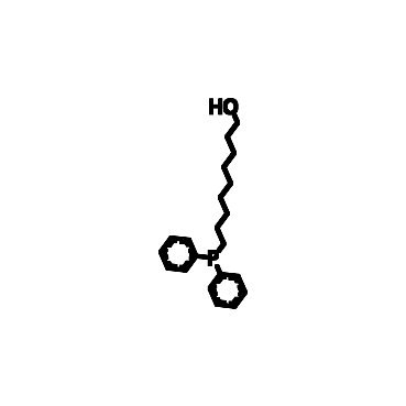 OCCCCCCCCCP(c1ccccc1)c1ccccc1